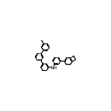 Cc1cccc(-c2cccc(-c3cccc(Nc4cccc(-c5ccc6c(c5)CC6)c4)c3)c2)c1